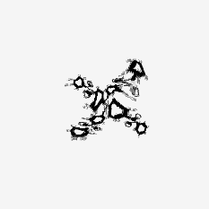 O=S(=O)(c1ccccc1)c1ccc([Si](c2ccc(S(=O)(=O)c3ccccc3)cc2)(c2ccc(S(=O)(=O)c3ccccc3)cc2)c2ccc(S(=O)(=O)c3ccccc3)cc2)cc1